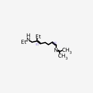 CCNC/C(=C/CC/C=C\N=C(C)C)CC